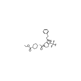 CCOC(=O)[C@H]1CC[C@H](CC(=O)N2CCc3c(C(F)(F)F)nn(CCc4ccccc4)c3C2)CC1